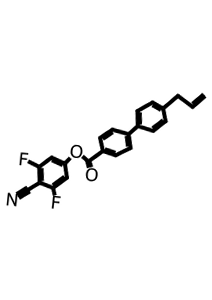 C=CCc1ccc(-c2ccc(C(=O)Oc3cc(F)c(C#N)c(F)c3)cc2)cc1